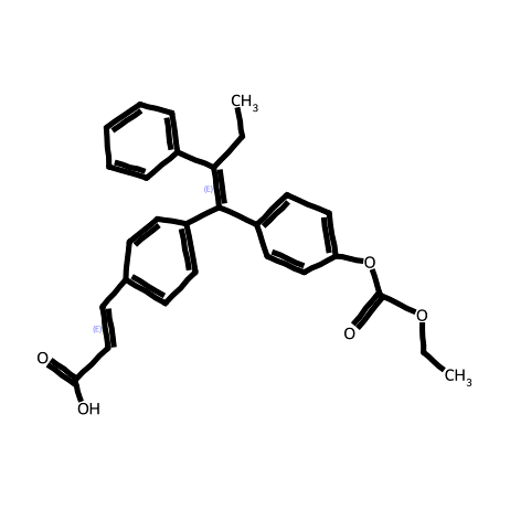 CCOC(=O)Oc1ccc(/C(=C(\CC)c2ccccc2)c2ccc(/C=C/C(=O)O)cc2)cc1